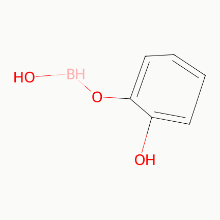 OBOc1ccccc1O